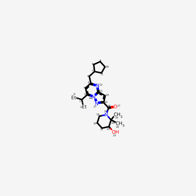 CCC(CC)c1cc(CC2CCCC2)nc2cc(C(=O)N3CCCC(O)C3(C)C)nn12